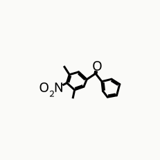 Cc1cc(C(=O)c2ccccc2)cc(C)c1[N+](=O)[O-]